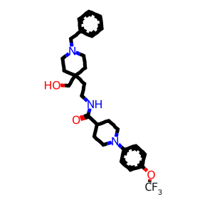 O=C(NCCC1(CO)CCN(Cc2ccccc2)CC1)C1CCN(c2ccc(OC(F)(F)F)cc2)CC1